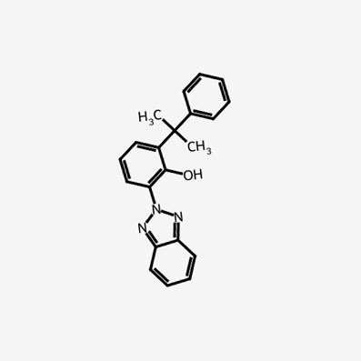 CC(C)(c1ccccc1)c1cccc(-n2nc3ccccc3n2)c1O